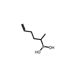 C=CCCC(C)B(O)O